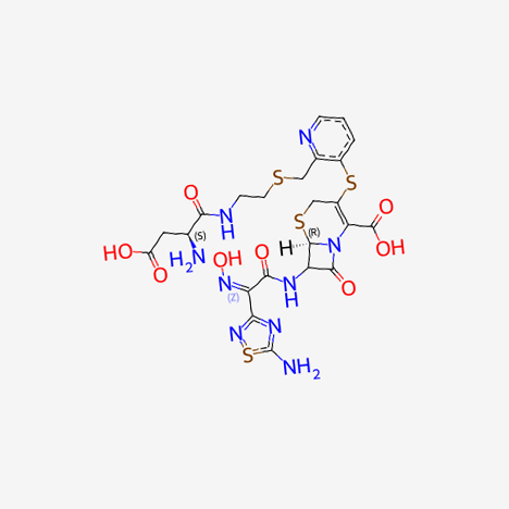 Nc1nc(/C(=N/O)C(=O)NC2C(=O)N3C(C(=O)O)=C(Sc4cccnc4CSCCNC(=O)[C@@H](N)CC(=O)O)CS[C@H]23)ns1